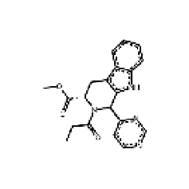 CCC(=O)N1C(c2ccncn2)c2[nH]c3ccccc3c2C[C@H]1C(=O)OC